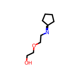 OCCOCCN=C1CCCC1